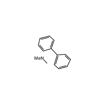 CNC.c1ccc(-c2ccccc2)cc1